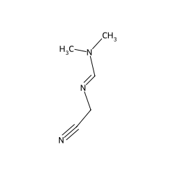 CN(C)C=NCC#N